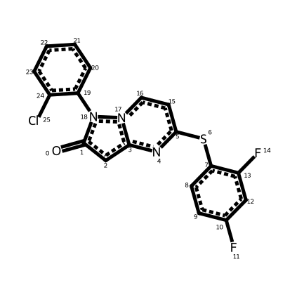 O=c1cc2nc(Sc3ccc(F)cc3F)ccn2n1-c1ccccc1Cl